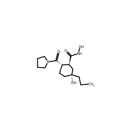 CCC[C@@]1(O)CC[C@H](C(=O)N2CCCC2)[C@@H](C(=O)NO)C1